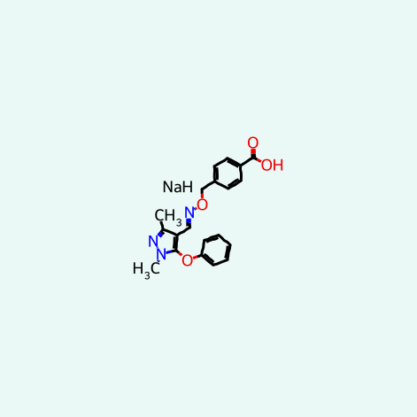 Cc1nn(C)c(Oc2ccccc2)c1C=NOCc1ccc(C(=O)O)cc1.[NaH]